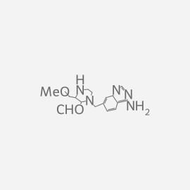 COCC1NCCN(Cc2ccc3c(N)ncnc3c2)C1C=O